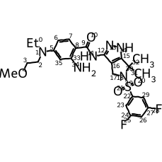 CCN(CCOC)c1ccc(C(=O)Nc2n[nH]c3c2CN(S(=O)(=O)c2cc(F)cc(F)c2)C3(C)C)c(N)c1